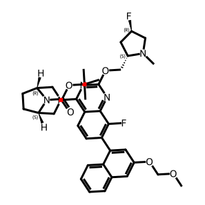 COCOc1cc(-c2ccc3c(N4C[C@H]5CC[C@@H](C4)N5C(=O)OC(C)(C)C)nc(OC[C@@H]4C[C@@H](F)CN4C)nc3c2F)c2ccccc2c1